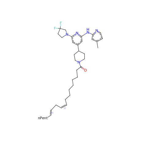 CCCCC/C=C/C/C=C\CCCCCCCC(=O)N1CCC(c2cc(Nc3cc(C)ccn3)nc(N3CCC(F)(F)C3)c2)CC1